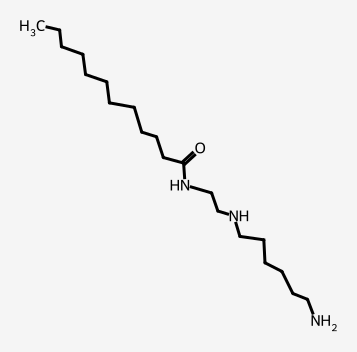 CCCCCCCCCCCC(=O)NCCNCCCCCCN